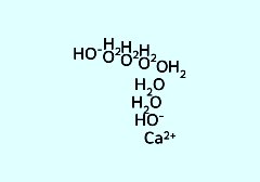 O.O.O.O.O.O.[Ca+2].[OH-].[OH-]